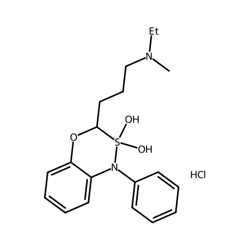 CCN(C)CCCC1Oc2ccccc2N(c2ccccc2)S1(O)O.Cl